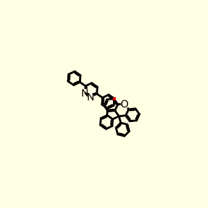 c1ccc(-c2ccc(-c3cccc(-c4ccccc4C4(c5ccccc5)c5ccccc5Oc5ccccc54)c3)nn2)cc1